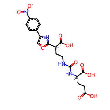 O=C(O)CC[C@H](NC(=O)NCC[C@H](C(=O)O)c1nc(-c2ccc([N+](=O)[O-])cc2)co1)C(=O)O